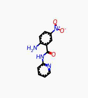 Nc1ccc([N+](=O)[O-])cc1C(=O)Nc1ccccn1